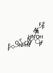 O=C(CC1CC(F)(F)C1)N[C@@H](c1cnn2cc([C@@H](NC(O)c3ccn(CCC(F)(F)F)n3)C3CCC(F)(F)CC3)nc2c1)C1CC1